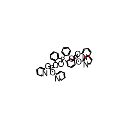 O=P(c1ccccc1)(c1ccccc1OP(Oc1ccccn1)Oc1ccccn1)c1ccccc1OP(Oc1ccccn1)Oc1ccccn1